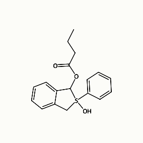 CCCC(=O)OC1c2ccccc2CS1(O)c1ccccc1